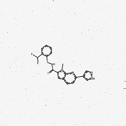 Cn1c(C(=O)NCc2ccccc2C(F)F)cc2ccc(-c3cn[nH]c3)nc21